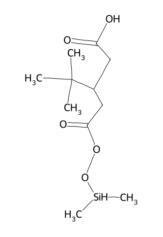 C[SiH](C)OOC(=O)CC(CC(=O)O)C(C)(C)C